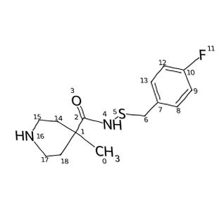 CC1(C(=O)NSCc2ccc(F)cc2)CCNCC1